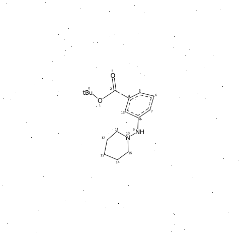 CC(C)(C)OC(=O)c1cccc(NN2CCCCC2)c1